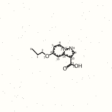 CCCOc1ccn2ncc(C(=O)O)c2c1